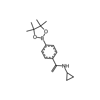 C=C(NC1CC1)c1ccc(B2OC(C)(C)C(C)(C)O2)cc1